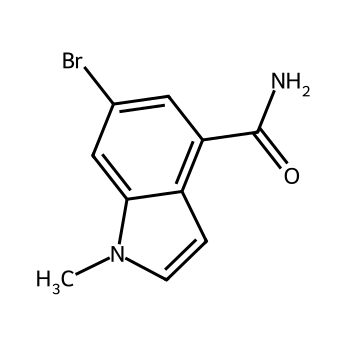 Cn1ccc2c(C(N)=O)cc(Br)cc21